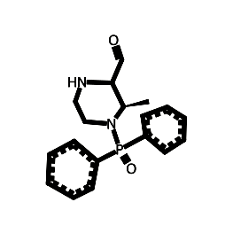 C[C@@H]1C(C=O)NCCN1P(=O)(c1ccccc1)c1ccccc1